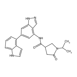 CC(C)N1CC(C(=O)Nc2cc(-c3cccc4[nH]ccc34)cc3[nH]ncc23)CC1=O